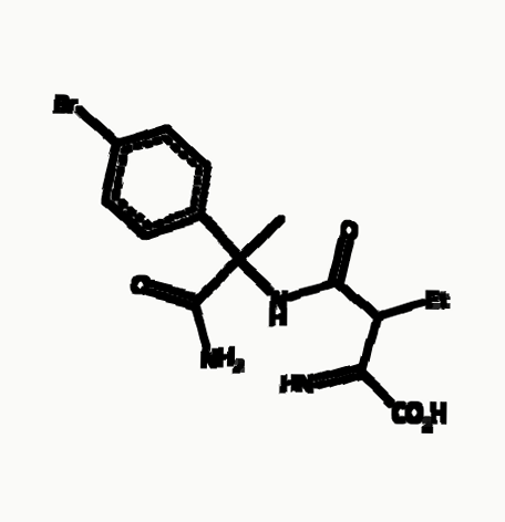 CCC(C(=N)C(=O)O)C(=O)NC(C)(C(N)=O)c1ccc(Br)cc1